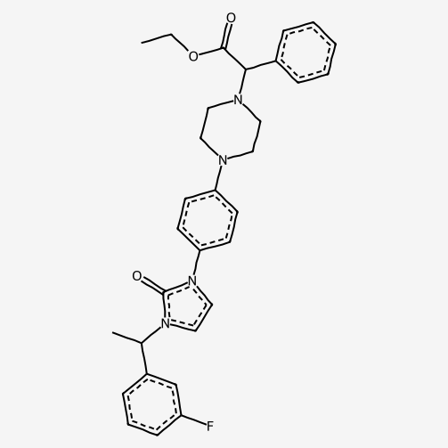 CCOC(=O)C(c1ccccc1)N1CCN(c2ccc(-n3ccn(C(C)c4cccc(F)c4)c3=O)cc2)CC1